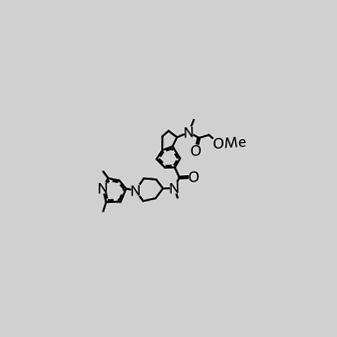 COCC(=O)N(C)C1CCc2ccc(C(=O)N(C)C3CCN(c4cc(C)nc(C)c4)CC3)cc21